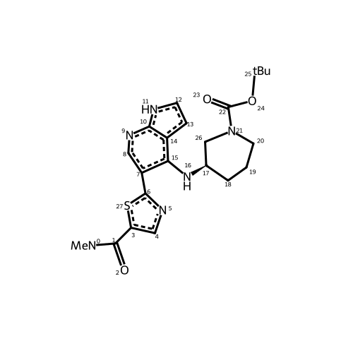 CNC(=O)c1cnc(-c2cnc3[nH]ccc3c2N[C@@H]2CCCN(C(=O)OC(C)(C)C)C2)s1